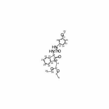 CCOC(CN1C(=O)C(NC(=O)Nc2cccc(OC)c2)c2ccccc21)OCC